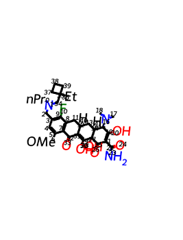 CCCN(Cc1cc(OC)c2c(c1F)C[C@H]1C[C@H]3[C@H](N(C)C)C(O)=C(C(N)=O)C(=O)[C@@]3(O)C(O)=C1C2=O)CC1(CC)CCC1